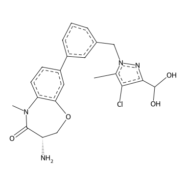 Cc1c(Cl)c(C(O)O)nn1Cc1cccc(-c2ccc3c(c2)OC[C@H](N)C(=O)N3C)c1